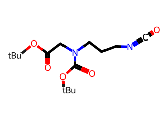 CC(C)(C)OC(=O)CN(CCCN=C=O)C(=O)OC(C)(C)C